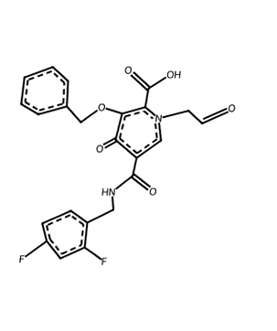 O=CCn1cc(C(=O)NCc2ccc(F)cc2F)c(=O)c(OCc2ccccc2)c1C(=O)O